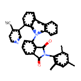 Cc1cc(C)c(N2C(=O)c3cccc(-n4c5ccccc5c5cccc(-c6cnccc6C#N)c54)c3C2=O)c(C)c1